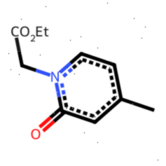 CCOC(=O)Cn1ccc(C)cc1=O